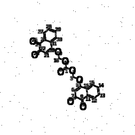 O=C(OCOC1=CC(=O)C(=O)c2ccccc21)OCOC1=CC(=O)C(=O)c2ccccc21